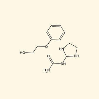 NC(=O)NC1NCCN1.OCCOc1ccccc1